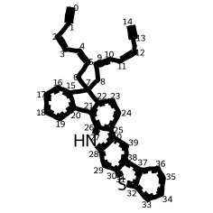 C#C/C=C\C=C/CC1(C/C=C\C=C/C#C)c2ccccc2-c2c1ccc1c2[nH]c2cc3sc4ccccc4c3cc21